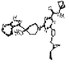 C#C[C@@H]1C[C@@H]1COc1nc(C(=O)NC23CC(C2)C3)nc(N2CCC(O)(c3n[nH]c4ncccc34)CC2)n1